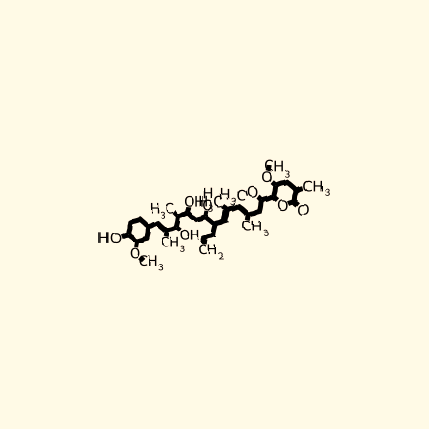 C=CCC(C=C(C)CC(C)CC(OC)C1OC(=O)C(C)CC1OC)C(O)CC(O)C(C)C(O)C(C)=CC1CCC(O)C(OC)C1